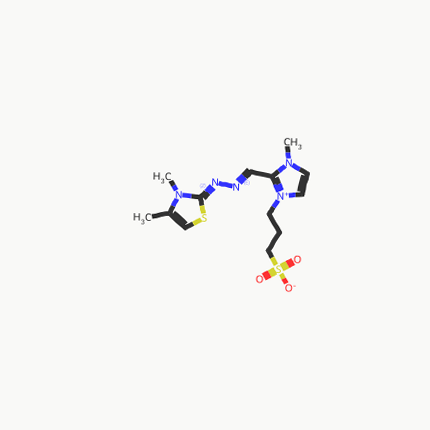 Cc1cs/c(=N\N=C\c2n(C)cc[n+]2CCCS(=O)(=O)[O-])n1C